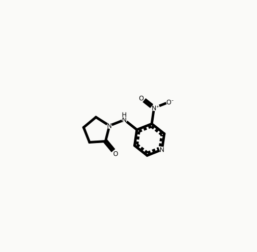 O=C1CCCN1Nc1ccncc1[N+](=O)[O-]